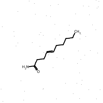 CCCCCC=CCCC(N)=O